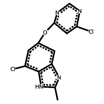 Cc1nc2cc(Oc3cc(Cl)ncn3)cc(Cl)c2[nH]1